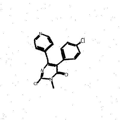 Cn1c(Cl)nc(-c2ccncc2)c(-c2ccc(Cl)cc2)c1=O